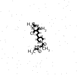 CCC(=O)NC(C)C(=O)N1CCC(CCc2c(N)nc(C)nc2Cl)CC1